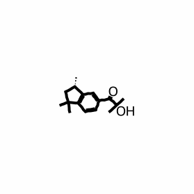 C[C@H]1CC(C)(C)c2ccc(C(=O)C(C)(C)O)cc21